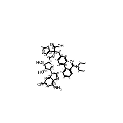 CCN(CC)C(=O)c1ccccc1-c1ccc(CC(OC[C@H]2O[C@@H](n3cnc4c(N)nc(Cl)nc43)[C@H](O)[C@@H]2O)(C(=O)O)c2cscn2)cc1